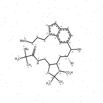 CCCCC(C)(C)C(=O)NCC1OC(C)(C)N(C(=O)O)C1C[C@@H](C(C)C)C(O)c1ccc2cnn(CCCOC)c2c1